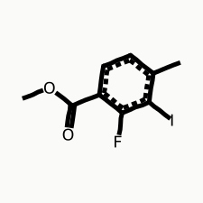 COC(=O)c1ccc(C)c(I)c1F